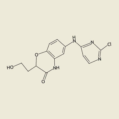 O=C1Nc2cc(Nc3ccnc(Cl)n3)ccc2OC1CCO